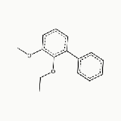 CCOc1c(OC)cccc1-c1ccccc1